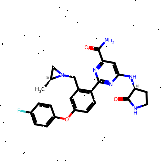 C[C@H]1CN1Cc1cc(Oc2ccc(F)cc2)ccc1-c1nc(N[C@H]2CCNC2=O)cc(C(N)=O)n1